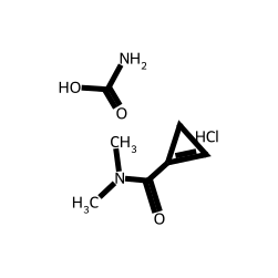 CN(C)C(=O)C1=CC1.Cl.NC(=O)O